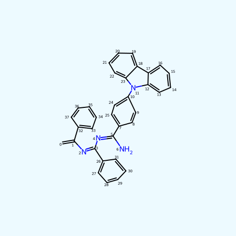 C=C(/N=C(\N=C(/N)c1ccc(-n2c3ccccc3c3ccccc32)cc1)c1ccccc1)c1ccccc1